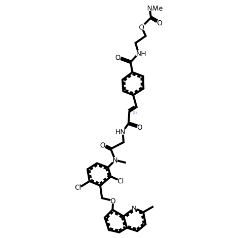 CNC(=O)OCCNC(=O)c1ccc(/C=C/C(=O)NCC(=O)N(C)c2ccc(Cl)c(COc3cccc4ccc(C)nc34)c2Cl)cc1